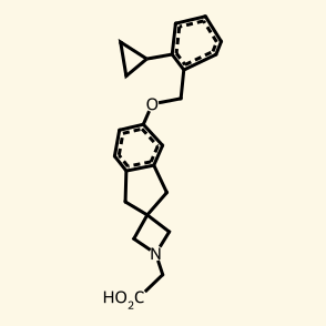 O=C(O)CN1CC2(Cc3ccc(OCc4ccccc4C4CC4)cc3C2)C1